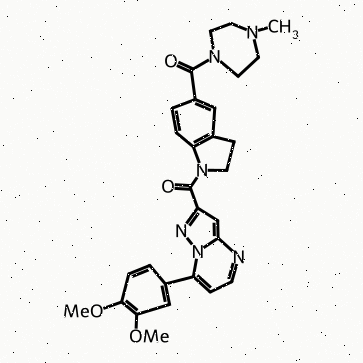 COc1ccc(-c2ccnc3cc(C(=O)N4CCc5cc(C(=O)N6CCN(C)CC6)ccc54)nn23)cc1OC